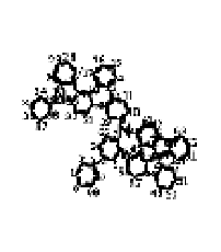 c1ccc(-c2ccc(N(c3ccc(-c4ccccc4)c(-c4ccc5c(c4)c4ccccc4n5-c4ccccc4)c3)c3ccc4c(c3)C(c3ccccc3)(c3ccccc3)c3ccccc3-4)cc2)cc1